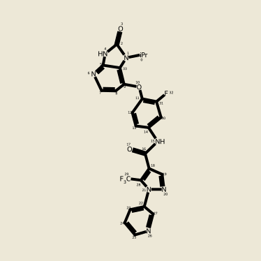 CC(C)n1c(=O)[nH]c2nccc(Oc3ccc(NC(=O)c4cnn(-c5cccnc5)c4C(F)(F)F)cc3F)c21